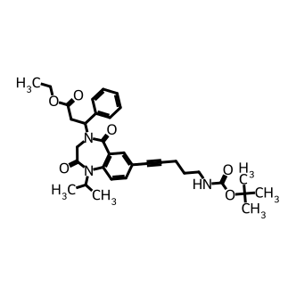 CCOC(=O)CC(c1ccccc1)N1CC(=O)N(C(C)C)c2ccc(C#CCCCNC(=O)OC(C)(C)C)cc2C1=O